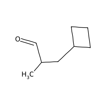 CC(C=O)CC1CCC1